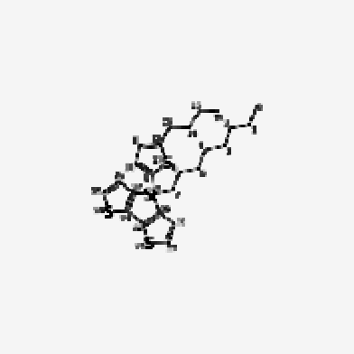 CCCCCCCC[Si]1(c2ccc(CCCC)s2)c2ccsc2-c2sccc21